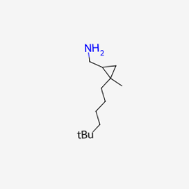 CC(C)(C)CCCCC1(C)CC1CN